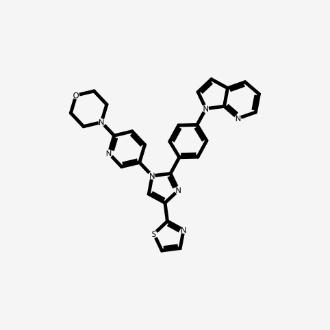 c1cnc2c(c1)ccn2-c1ccc(-c2nc(-c3nccs3)cn2-c2ccc(N3CCOCC3)nc2)cc1